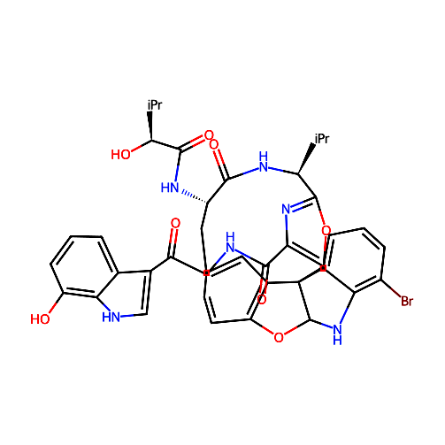 CC(C)[C@H](O)C(=O)N[C@H]1Cc2ccc3c(c2)C2(c4cccc(Br)c4NC2O3)c2oc(nc2C(=O)NCC(=O)c2c[nH]c3c(O)cccc23)[C@H](C(C)C)NC1=O